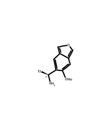 CC[C@H](N)c1cc2cocc2cc1OC